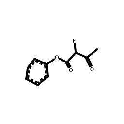 CC(=O)C(F)C(=O)Oc1ccccc1